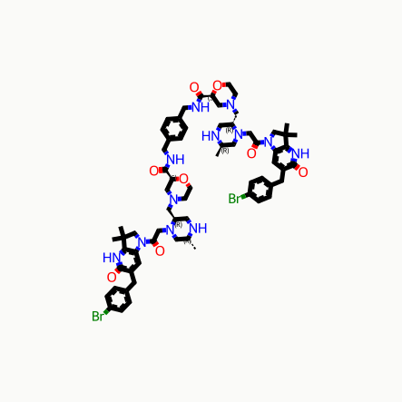 C[C@@H]1CN(CC(=O)N2CC(C)(C)c3[nH]c(=O)c(Cc4ccc(Br)cc4)cc32)[C@@H](CN2CCO[C@H](C(=O)NCc3ccc(CNC(=O)[C@@H]4CN(C[C@H]5CN[C@H](C)CN5CC(=O)N5CC(C)(C)c6[nH]c(=O)c(Cc7ccc(Br)cc7)cc65)CCO4)cc3)C2)CN1